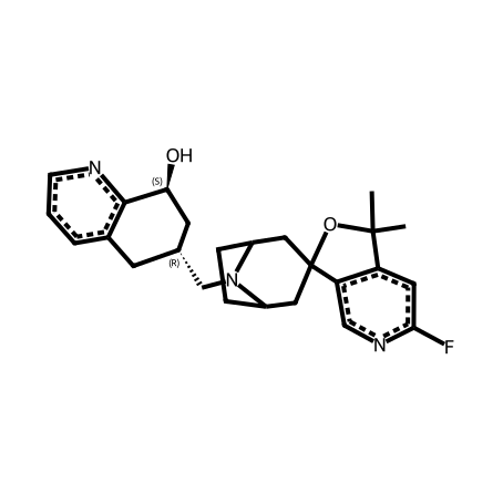 CC1(C)OC2(CC3CCC(C2)N3C[C@@H]2Cc3cccnc3[C@@H](O)C2)c2cnc(F)cc21